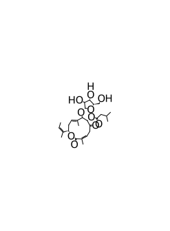 C/C=C(/C)[C@H]1C/C=C(\C)[C@@H](O[C@H]2O[C@H](CO)[C@@H](O)[C@@H]2O)[C@H](OC(=O)CC(C)C)C(=O)C/C=C(/C)C(=O)O1